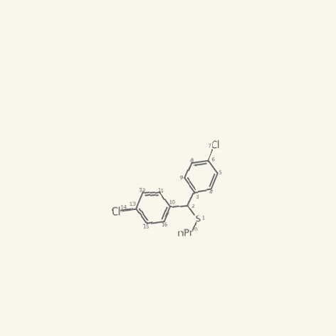 CCCSC(c1ccc(Cl)cc1)c1ccc(Cl)cc1